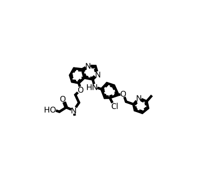 Cc1cccc(COc2ccc(Nc3ncnc4cccc(OCCN(C)C(=O)CO)c34)cc2Cl)n1